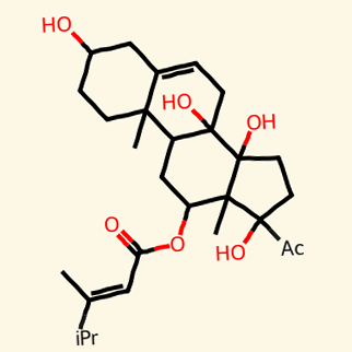 CC(=O)C1(O)CCC2(O)C3(O)CC=C4CC(O)CCC4(C)C3CC(OC(=O)C=C(C)C(C)C)C12C